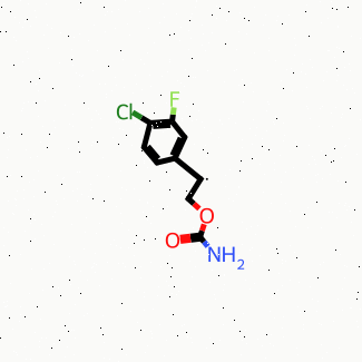 NC(=O)OC[CH]c1ccc(Cl)c(F)c1